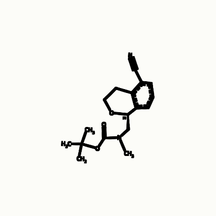 CN(C[C@H]1OCCc2c(C#N)cccc21)C(=O)OC(C)(C)C